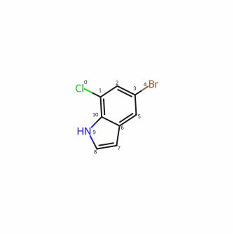 Clc1cc(Br)cc2cc[nH]c12